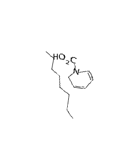 CCCCCCCC.O=C(O)N1C=CC=CC1